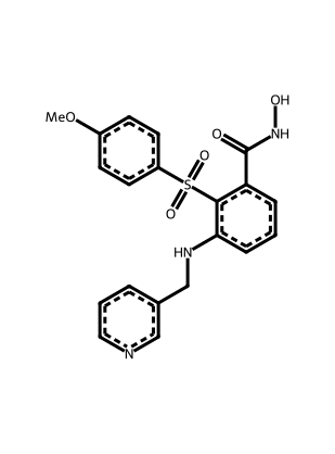 COc1ccc(S(=O)(=O)c2c(NCc3cccnc3)cccc2C(=O)NO)cc1